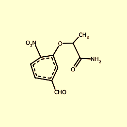 CC(Oc1cc(C=O)ccc1[N+](=O)[O-])C(N)=O